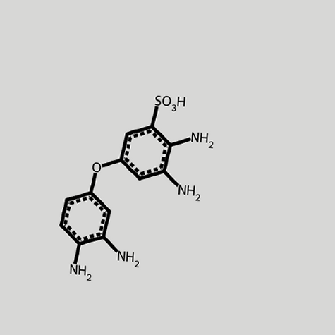 Nc1ccc(Oc2cc(N)c(N)c(S(=O)(=O)O)c2)cc1N